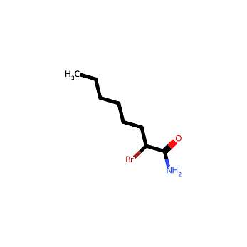 CCCCCCC(Br)C(N)=O